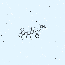 Cc1ccc(N(c2ccccc2)c2ccc3cc4c(cc3c2)C(C)(C)c2c-4c3ccccc3c3ccccc23)c(C)c1